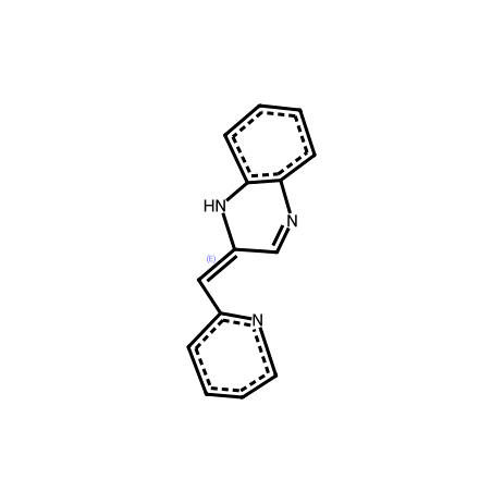 C1=Nc2ccccc2N/C1=C/c1ccccn1